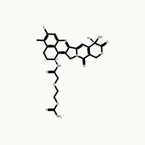 CC[C@@]1(O)C(=O)OCc2c1cc1n(c2=O)Cc2c-1nc1cc(F)c(C)c3c1c2[C@@H](NC(=O)COCCOC(N)=O)CC3